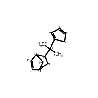 CC(C)(C1=CC=CC1)C1CC2C=CC1C2